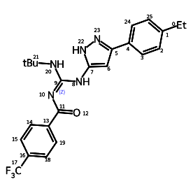 CCc1ccc(-c2cc(N/C(=N\C(=O)c3ccc(C(F)(F)F)cc3)NC(C)(C)C)[nH]n2)cc1